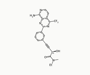 CCN(C)C(=O)[C@H](O)C#Cc1cccc(-c2nc(C(F)(F)F)c3ccnc(N)c3n2)c1